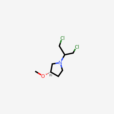 CO[C@H]1CCN(C(CCl)CCl)C1